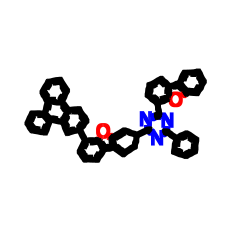 C1=c2oc3c(-c4ccc5c6ccccc6c6ccccc6c5c4)cccc3c2=CCC1c1nc(-c2ccccc2)nc(-c2cccc3c2oc2ccccc23)n1